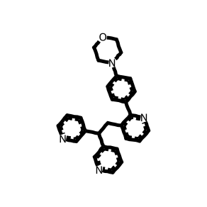 c1cncc(C(Cc2cccnc2-c2ccc(N3CCOCC3)cc2)c2cccnc2)c1